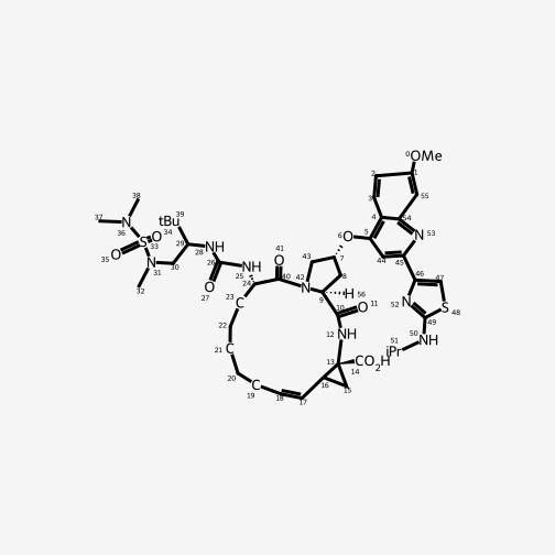 COc1ccc2c(O[C@@H]3C[C@H]4C(=O)N[C@]5(C(=O)O)CC5/C=C\CCCCC[C@H](NC(=O)NC(CN(C)S(=O)(=O)N(C)C)C(C)(C)C)C(=O)N4C3)cc(-c3csc(NC(C)C)n3)nc2c1